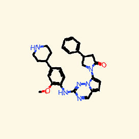 COc1cc(C2CCNCC2)ccc1Nc1ncc2ccc(N3CC(c4ccccc4)CC3=O)n2n1